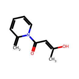 C=C1C=CC=CN1C(=O)/C=C(\C)O